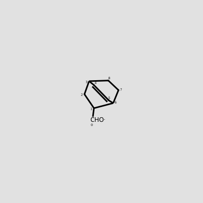 O=[C]C1CC2C=CC1CC2